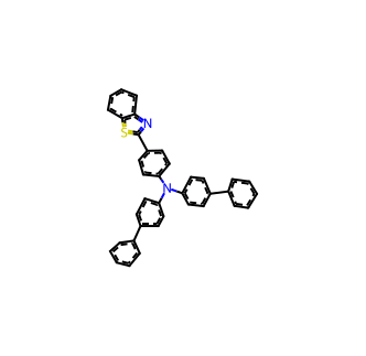 c1ccc(-c2ccc(N(c3ccc(-c4ccccc4)cc3)c3ccc(-c4nc5ccccc5s4)cc3)cc2)cc1